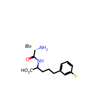 CC[C@H](C)[C@H](N)C(=O)NC(CCCc1cccc(F)c1)C(=O)O